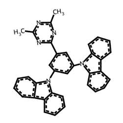 Cc1nc(C)nc(-c2cc(-n3c4ccccc4c4ccccc43)cc(-n3c4ccccc4c4ccccc43)c2)n1